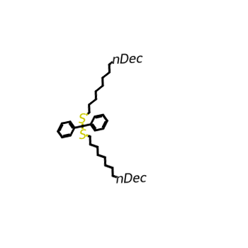 CCCCCCCCCCCCCCCCCCSC(SCCCCCCCCCCCCCCCCCC)(c1ccccc1)c1ccccc1